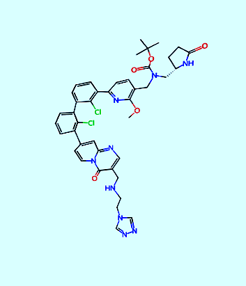 COc1nc(-c2cccc(-c3cccc(-c4ccn5c(=O)c(CNCCn6cnnc6)cnc5c4)c3Cl)c2Cl)ccc1CN(C[C@@H]1CCC(=O)N1)C(=O)OC(C)(C)C